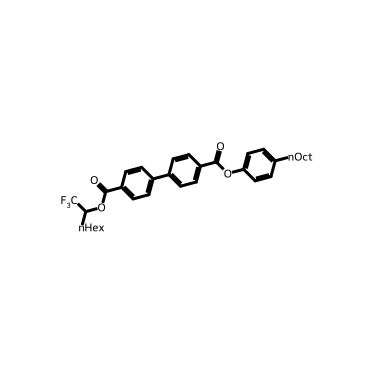 CCCCCCCCc1ccc(OC(=O)c2ccc(-c3ccc(C(=O)OC(CCCCCC)C(F)(F)F)cc3)cc2)cc1